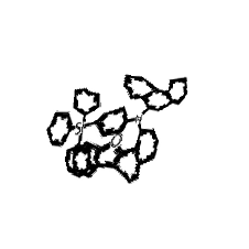 c1ccc([Si](c2ccccc2)(c2ccccc2)c2ccc(N(c3cc4ccccc4c4ccccc34)c3cccc4ccc5c6ccccc6oc5c34)cc2)cc1